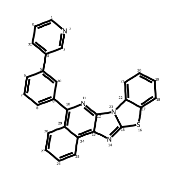 c1cncc(-c2cccc(-c3nc4c(nc5sc6ccccc6n54)c4ccccc34)c2)c1